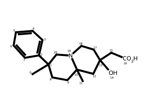 CC1(c2ccccc2)CCC2(C)CC(O)(CC(=O)O)CCN2C1